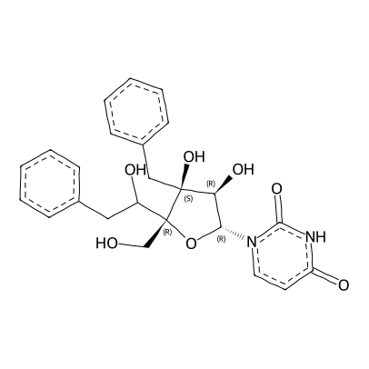 O=c1ccn([C@@H]2O[C@](CO)(C(O)Cc3ccccc3)[C@](O)(Cc3ccccc3)[C@H]2O)c(=O)[nH]1